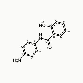 Nc1ccc(NC(=O)c2ccccc2O)cc1